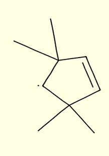 CC1(C)[CH]C(C)(C)C=C1